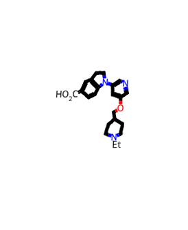 CCN1CCC(COc2cncc(N3CCc4cc(C(=O)O)ccc43)c2)CC1